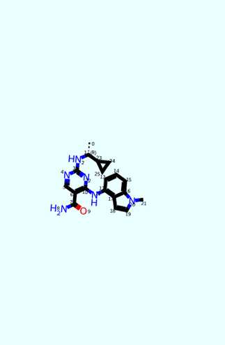 C[C@@H](Nc1ncc(C(N)=O)c(Nc2cccc3c2ccn3C)n1)C1CC1